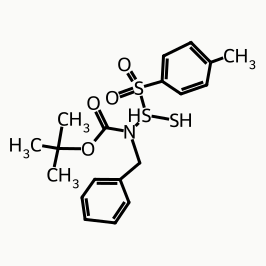 Cc1ccc(S(=O)(=O)[SH](S)N(Cc2ccccc2)C(=O)OC(C)(C)C)cc1